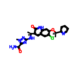 C[C@H](Nc1nc(C(N)=O)n(C)n1)c1cc2cc(Cl)c(O[C@H](C)c3ccccn3)cc2[nH]c1=O